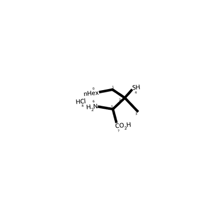 CCCCCCCC(C)(S)C(N)C(=O)O.Cl